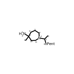 CCCCCC(C)N1CCCC(C)(N)CC1